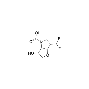 O=C(O)N1CC(C(F)F)C2OCC(O)C21